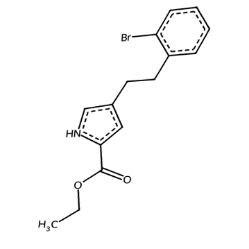 CCOC(=O)c1cc(CCc2ccccc2Br)c[nH]1